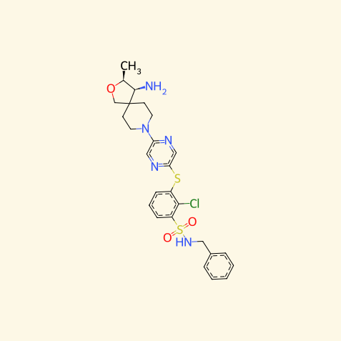 C[C@@H]1OCC2(CCN(c3cnc(Sc4cccc(S(=O)(=O)NCc5ccccc5)c4Cl)cn3)CC2)[C@@H]1N